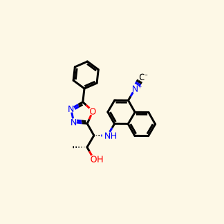 [C-]#[N+]c1ccc(N[C@@H](c2nnc(-c3ccccc3)o2)[C@@H](C)O)c2ccccc12